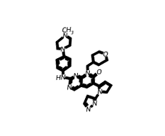 CN1CCN(c2ccc(Nc3ncc4cc(C5=CCCN5C5=NN=CC5)c(=O)n(CC5CCOCC5)c4n3)cc2)CC1